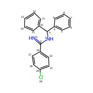 N=C(NC(c1ccccc1)c1ccccc1)c1ccc(Cl)cc1